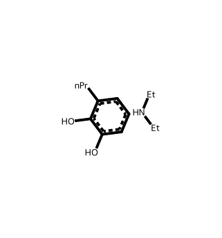 CCCc1cccc(O)c1O.CCNCC